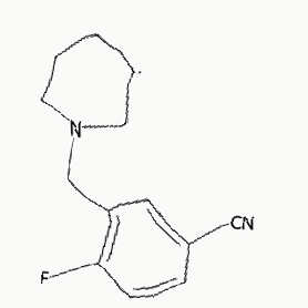 N#Cc1ccc(F)c(CN2C[CH]CCC2)c1